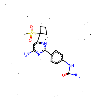 CS(=O)(=O)C1(c2cc(N)nc(-c3ccc(NC(N)=O)cc3)n2)CCC1